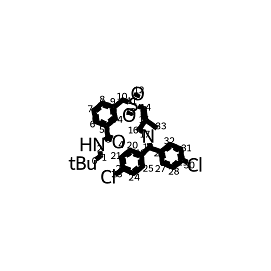 CC(C)(C)CNC(=O)c1cccc(CS(=O)(=O)C=C2CN(C(c3ccc(Cl)cc3)c3ccc(Cl)cc3)C2)c1